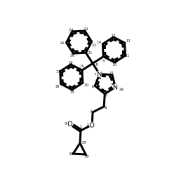 O=C(OCCc1cn(C(c2ccccc2)(c2ccccc2)c2ccccc2)cn1)C1CC1